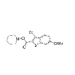 CCc1c(C(=O)ON2CCCCC2)sc2cc(OC)ccc12